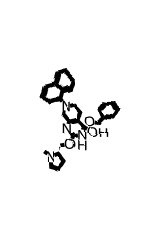 CN1CCC[C@H]1COC1=NC2=C(CCN(c3cccc4ccccc34)C2)C(O)(OCc2ccccc2)N1